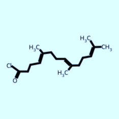 CC(C)=CCCC(C)=CCCC(C)=CCCC(=O)Cl